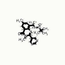 Cc1cc([C@@H](C)N[S+]([O-])C(C)(C)C)c2nc(-c3cncnc3)n(C)c(=O)c2c1